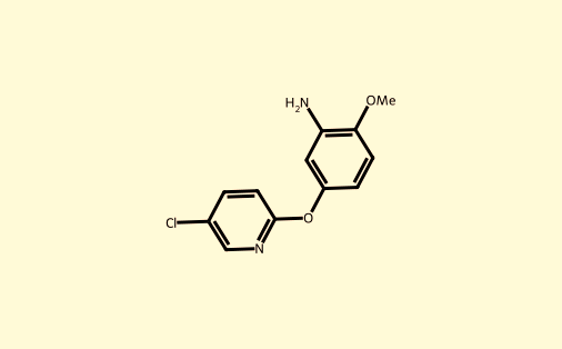 COc1ccc(Oc2ccc(Cl)cn2)cc1N